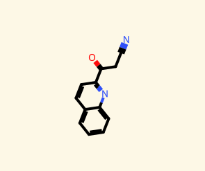 N#CCC(=O)c1ccc2ccccc2n1